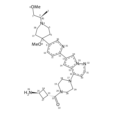 COC[C@@H](C)N1CCC(OC)(c2ccc(-c3cc4c(N5CCN(C(=O)[C@H]6C[C@H](N)C6)CC5)ccnn4c3)nc2)CC1